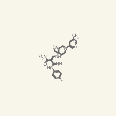 N#CCC1(N/C=C(\C(=N)Nc2ccc(F)cc2)C(N)=O)CCN(c2cncc(C(F)(F)F)c2)CC1